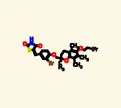 Cc1c(C)c2c(c(C)c1OCCC(C)C)CCC(C)(COc1ccc(/C=C3/SC(=O)NC3=O)cc1Br)O2